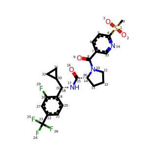 CS(=O)(=O)c1ccc(C(=O)N2CCC[C@@H]2C(=O)N[C@H](c2ccc(C(F)(F)F)cc2F)C2CC2)cn1